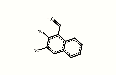 C=Cc1c(C#N)c(C#N)cc2ccccc12